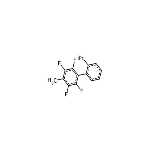 Cc1c(F)c(F)c(-c2ccccc2C(C)C)c(F)c1F